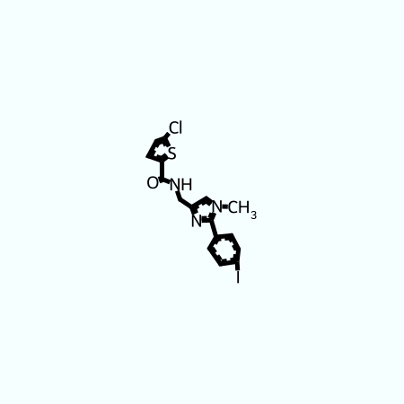 Cn1cc(CNC(=O)c2ccc(Cl)s2)nc1-c1ccc(I)cc1